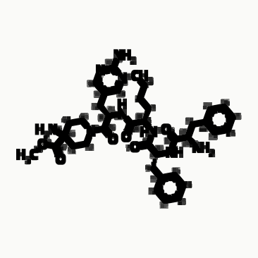 CCCC[C@@H](NC(=O)[C@@H](Cc1ccccc1)NC(=O)[C@H](N)Cc1ccccc1)C(=O)N[C@H](Cc1cnc(N)nc1)C(=O)N1CCC(N)(C(=O)OC)CC1